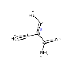 C#C/C(=C\S)C(N)=O